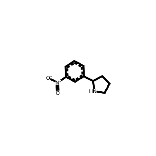 O=[N+]([O-])c1cc[c]c(C2CCCN2)c1